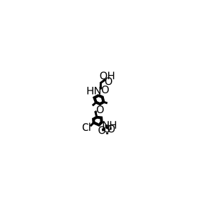 Cc1cc(NC(=O)CC(=O)O)cc(C)c1OCc1cc(Cl)cc(NS(C)(=O)=O)c1